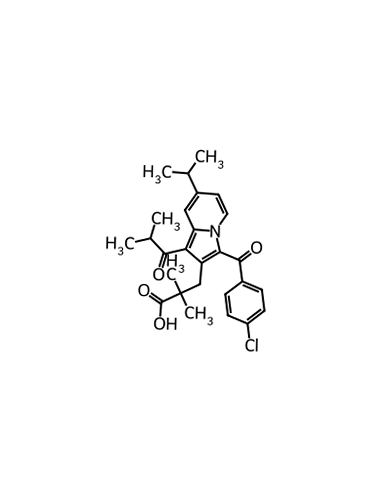 CC(C)C(=O)c1c(CC(C)(C)C(=O)O)c(C(=O)c2ccc(Cl)cc2)n2ccc(C(C)C)cc12